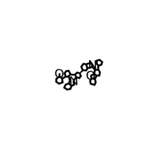 c1ccc2c(c1)cn1c3ccc(-c4ccc5cn6c7ccccc7c7ccc8c9ccccc9oc8c7c6c5c4)cc3c3ccc4oc5ccccc5c4c3c21